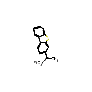 CCOC(=O)C(C)c1ccc2c(c1)sc1ccccc12